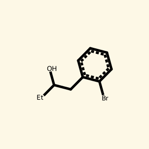 CCC(O)Cc1ccccc1Br